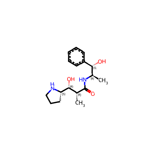 C[C@@H](NC(=O)[C@H](C)[C@@H](O)[C@@H]1CCCN1)[C@@H](O)c1ccccc1